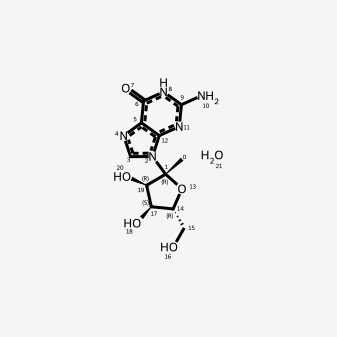 C[C@@]1(n2cnc3c(=O)[nH]c(N)nc32)O[C@H](CO)[C@@H](O)[C@H]1O.O